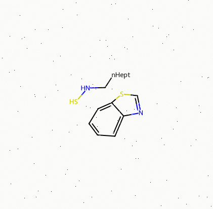 CCCCCCCCNS.c1ccc2scnc2c1